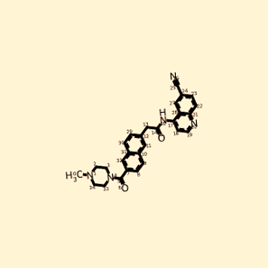 CN1CCN(C(=O)c2ccc3cc(CC(=O)Nc4ccnc5ccc(C#N)cc45)ccc3c2)CC1